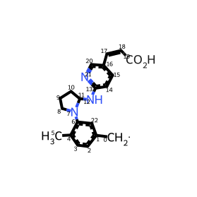 [CH2]c1ccc(C)c(N2CCCC2Nc2ccc(/C=C\C(=O)O)cn2)c1